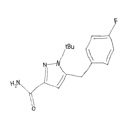 CC(C)(C)n1nc(C(N)=O)cc1Cc1ccc(F)cc1